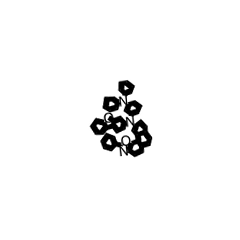 c1ccc(-c2nc3ccc4ccc5ccc(N(c6cccc(N(c7ccccc7)c7ccccc7)c6)c6ccc7c(c6)oc6ccccc67)cc5c4c3o2)cc1